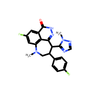 CN1CC(c2ccc(F)cc2)C(c2ncnn2C)c2n[nH]c(=O)c3cc(F)cc1c23